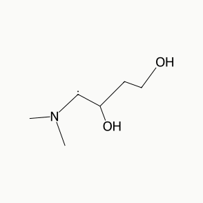 CN(C)[CH]C(O)CCO